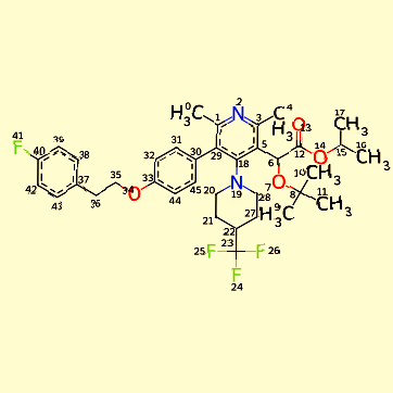 Cc1nc(C)c(C(OC(C)(C)C)C(=O)OC(C)C)c(N2CCC(C(F)(F)F)CC2)c1-c1ccc(OCCc2ccc(F)cc2)cc1